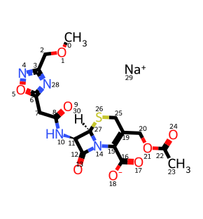 COCc1noc(CC(=O)N[C@@H]2C(=O)N3C(C(=O)[O-])=C(COC(C)=O)CS[C@H]23)n1.[Na+]